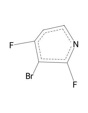 Fc1ccnc(F)c1Br